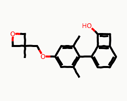 Cc1cc(OCC2(C)COC2)cc(C)c1-c1cccc2c1C(O)=C2